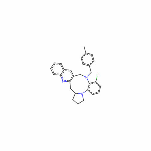 Cc1ccc(CN2Cc3cc4ccccc4nc3CC3CCCN3c3cccc(Cl)c32)cc1